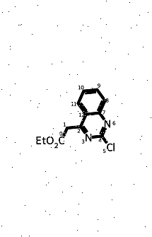 CCOC(=O)Cc1nc(Cl)nc2ccccc12